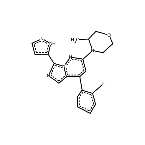 CC1COCCN1c1cc(-c2ccccc2F)c2cnc(-c3ccn[nH]3)n2n1